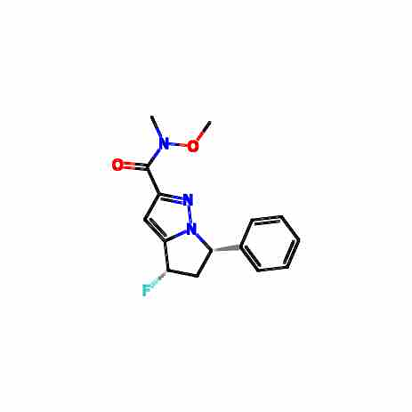 CON(C)C(=O)c1cc2n(n1)[C@H](c1ccccc1)C[C@@H]2F